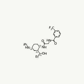 CC[C@H](O)[C@H]1C[C@H](NC(C)C)CC[C@@H]1NC(=O)CNC(=O)c1cccc(C(F)(F)F)c1